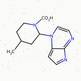 CC1CCN(C(=O)O)C(n2ccnc3nccc2-3)C1